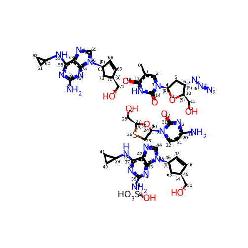 Cc1cn([C@H]2C[C@H](N=[N+]=[N-])[C@@H](CO)O2)c(=O)[nH]c1=O.Nc1ccn([C@H]2CS[C@@H](CO)O2)c(=O)n1.Nc1nc(NC2CC2)c2ncn([C@H]3C=C[C@@H](CO)C3)c2n1.Nc1nc(NC2CC2)c2ncn([C@H]3C=C[C@@H](CO)C3)c2n1.O=S(=O)(O)O